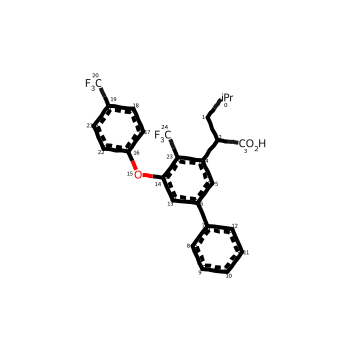 CC(C)CC(C(=O)O)c1cc(-c2ccccc2)cc(Oc2ccc(C(F)(F)F)cc2)c1C(F)(F)F